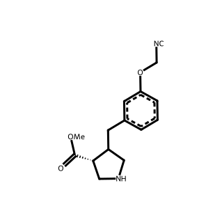 [C-]#[N+]COc1cccc(CC2CNC[C@@H]2C(=O)OC)c1